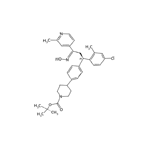 Cc1cc(C(C[C@H](c2ccc(C3CCN(C(=O)OC(C)(C)C)CC3)cc2)c2ccc(Cl)cc2C)=NO)ccn1